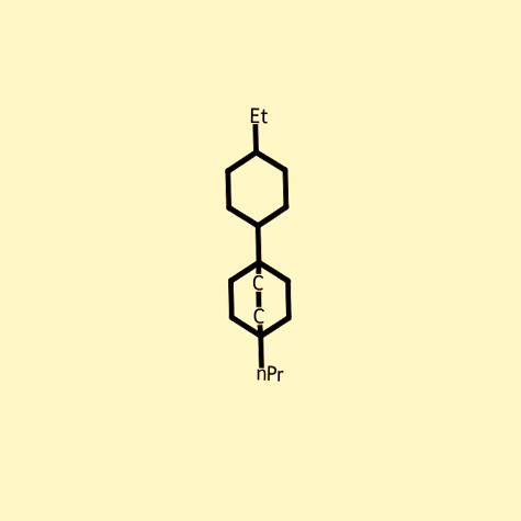 CCCC12CCC(C3CCC(CC)CC3)(CC1)CC2